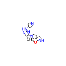 Cc1cnc(Nc2ccncc2)nc1N1CCC2(CCNC2=O)CC1